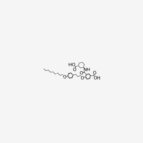 CCCCCCCCCOc1ccc(CCCOc2ccc(C(=O)O)cc2C(=O)NC2CCCC(C(=O)O)C2)cc1